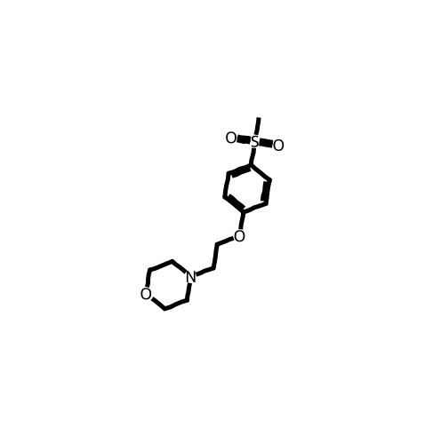 CS(=O)(=O)c1ccc(OCCN2CCOCC2)cc1